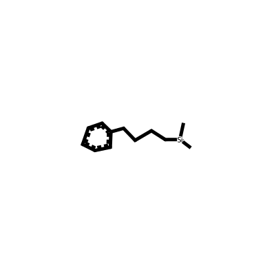 C[Si](C)CCCCc1ccccc1